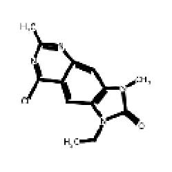 CCn1c(=O)n(C)c2cc3nc(C)nc(Cl)c3cc21